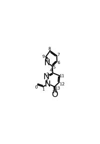 C=Cn1nc(-c2ccccn2)ccc1=O